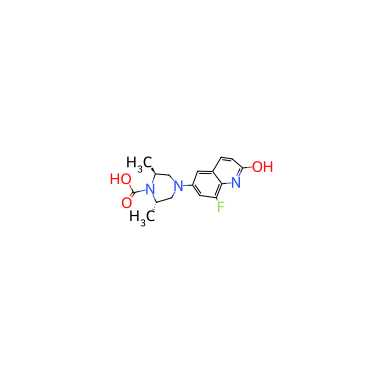 C[C@H]1CN(c2cc(F)c3nc(O)ccc3c2)C[C@H](C)N1C(=O)O